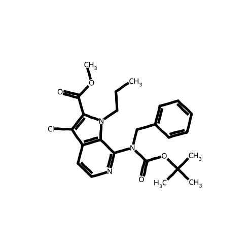 CCCn1c(C(=O)OC)c(Cl)c2ccnc(N(Cc3ccccc3)C(=O)OC(C)(C)C)c21